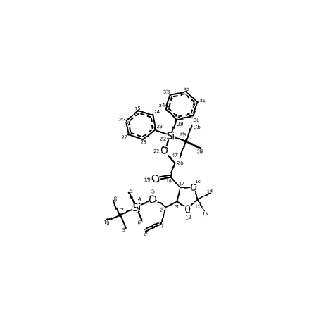 C=CC(O[Si](C)(C)C(C)(C)C)C1OC(C)(C)OC1C(=O)CO[Si](c1ccccc1)(c1ccccc1)C(C)(C)C